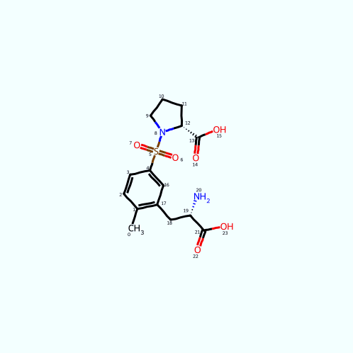 Cc1ccc(S(=O)(=O)N2CCC[C@@H]2C(=O)O)cc1C[C@H](N)C(=O)O